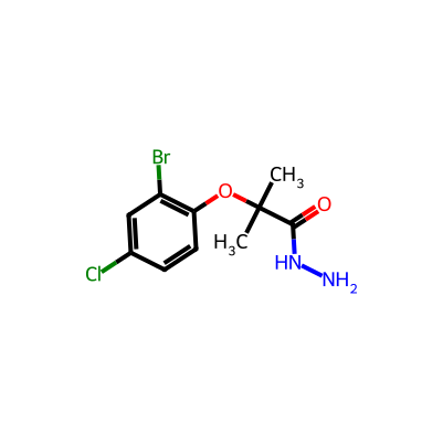 CC(C)(Oc1ccc(Cl)cc1Br)C(=O)NN